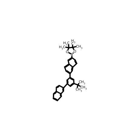 CC(C)(C)c1cc(-c2ccc3ccccc3c2)cc(-c2ccc3cc(B4OC(C)(C)C(C)(C)O4)ccc3c2)c1